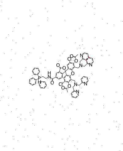 CC(=O)Oc1c(Cl)cc2c(c1CN(Cc1ccccn1)Cc1ccccn1)Oc1c(cc(Cl)c(OC(C)=O)c1CN(Cc1ccccn1)Cc1ccccn1)C21OC(=O)c2cc(C(=O)NCC[PH](c3ccccc3)(c3ccccc3)c3ccccc3)ccc21